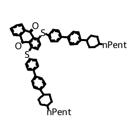 CCCCCC1CCC(c2ccc(-c3ccc(Sc4ccc(Sc5ccc(-c6ccc(C7CCC(CCCCC)CC7)cc6)cc5)c5c4C(=O)c4ccccc4C5=O)cc3)cc2)CC1